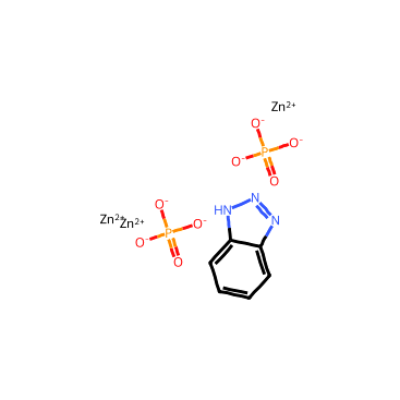 O=P([O-])([O-])[O-].O=P([O-])([O-])[O-].[Zn+2].[Zn+2].[Zn+2].c1ccc2[nH]nnc2c1